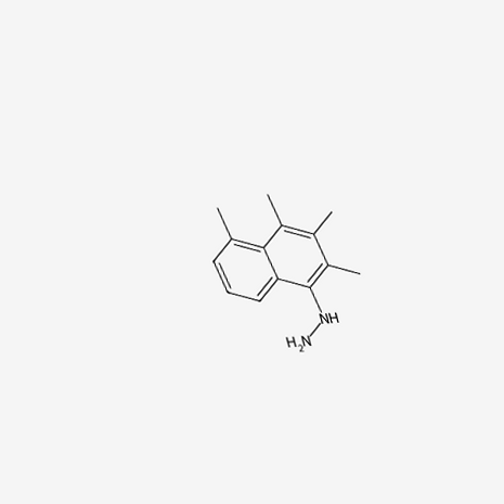 Cc1c(C)c(C)c2c(C)cccc2c1NN